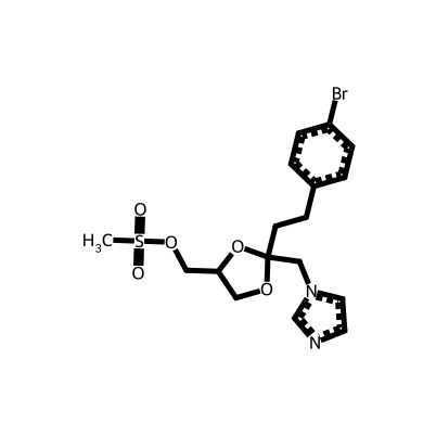 CS(=O)(=O)OCC1COC(CCc2ccc(Br)cc2)(Cn2ccnc2)O1